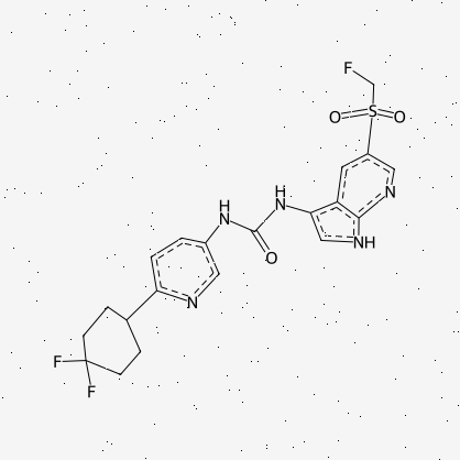 O=C(Nc1ccc(C2CCC(F)(F)CC2)nc1)Nc1c[nH]c2ncc(S(=O)(=O)CF)cc12